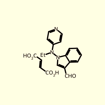 CCN(c1ccncc1)n1cc(C=O)c2ccccc21.O=C(O)C=CC(=O)O